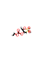 CCOC(=O)OC1CS(=O)(=O)OC1C